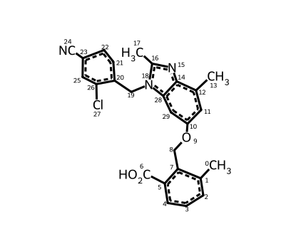 Cc1cccc(C(=O)O)c1COc1cc(C)c2nc(C)n(Cc3ccc(C#N)cc3Cl)c2c1